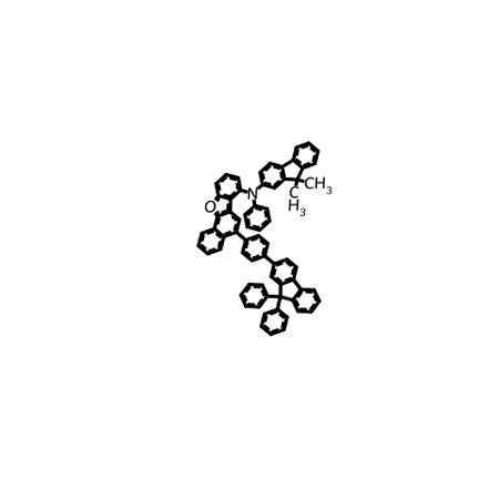 CC1(C)c2ccccc2-c2ccc(N(c3ccccc3)c3cccc4oc5c6ccccc6c(-c6ccc(-c7ccc8c(c7)C(c7ccccc7)(c7ccccc7)c7ccccc7-8)cc6)cc5c34)cc21